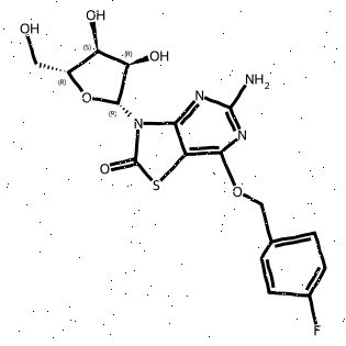 Nc1nc(OCc2ccc(F)cc2)c2sc(=O)n([C@@H]3O[C@H](CO)[C@@H](O)[C@H]3O)c2n1